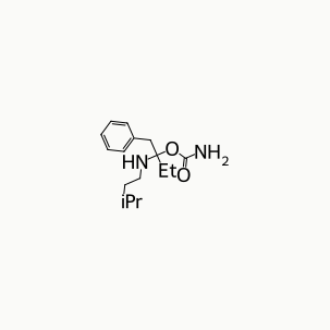 CCC(Cc1ccccc1)(NCCC(C)C)OC(N)=O